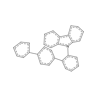 c1ccc(-c2ccc(-c3ccccc3-n3c4ccccc4c4ccccc43)cc2)cc1